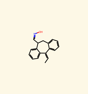 C/C=C1/c2ccccc2CC(/C=N\O)c2ccccc21